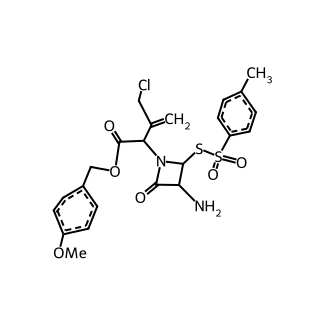 C=C(CCl)C(C(=O)OCc1ccc(OC)cc1)N1C(=O)C(N)C1SS(=O)(=O)c1ccc(C)cc1